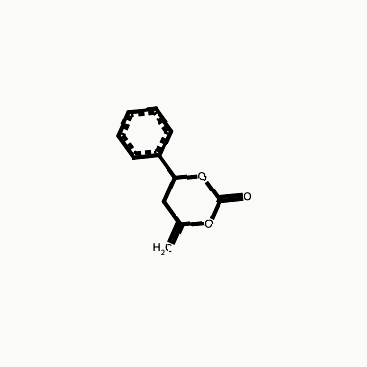 C=C1CC(c2ccccc2)OC(=O)O1